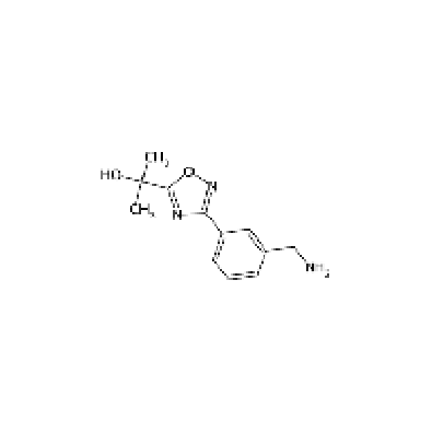 CC(C)(O)c1nc(-c2cccc(CN)c2)no1